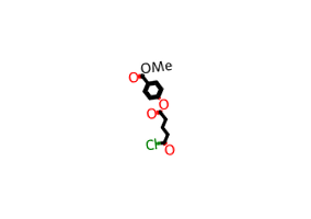 COC(=O)c1ccc(OC(=O)CCCC(=O)Cl)cc1